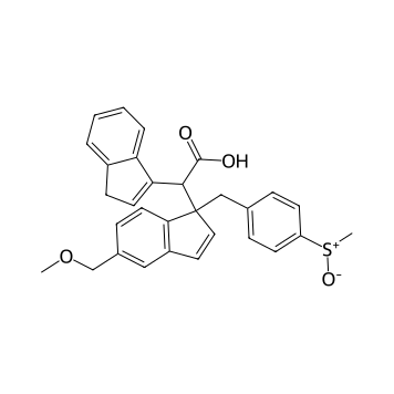 COCc1ccc2c(c1)C=CC2(Cc1ccc([S+](C)[O-])cc1)C(C(=O)O)C1=CCc2ccccc21